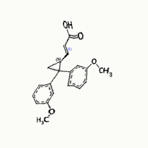 COc1cccc(C2(c3cccc(OC)c3)C[C@H]2/C=C/C(=O)O)c1